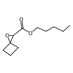 CCCCCOC(=O)C1OC12CCC2